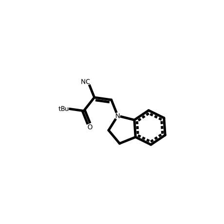 CC(C)(C)C(=O)C(C#N)=CN1CCc2ccccc21